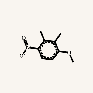 COc1ccc([N+](=O)[O-])c(C)c1C